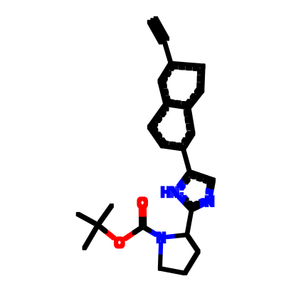 C#Cc1ccc2cc(-c3cnc(C4CCCN4C(=O)OC(C)(C)C)[nH]3)ccc2c1